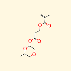 C=C(C)C(=O)OCCC(=O)OC1COCC(C)O1